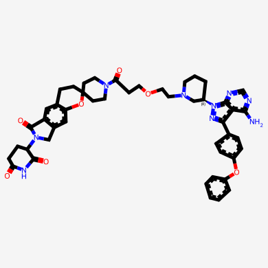 Nc1ncnc2c1c(-c1ccc(Oc3ccccc3)cc1)nn2[C@@H]1CCCN(CCOCCC(=O)N2CCC3(CCc4cc5c(cc4O3)CN(C3CCC(=O)NC3=O)C5=O)CC2)C1